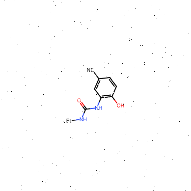 CCNC(=O)Nc1cc(C#N)ccc1O